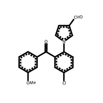 COc1cccc(C(=O)c2cc(Cl)ccc2-n2ccc(C=O)c2)c1